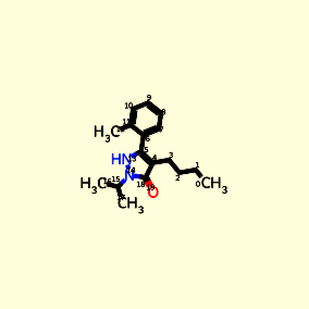 CCCCc1c(-c2ccccc2C)[nH]n(C(C)C)c1=O